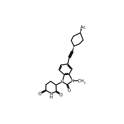 CC(=O)[C@H]1CC[C@@H](C#Cc2ccc3c(c2)n(C)c(=O)n3C2CCC(=O)NC2=O)CC1